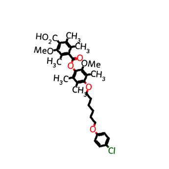 COc1c(C)c(OCCCCCCOc2ccc(Cl)cc2)c(C)c(C)c1OC(=O)c1c(C)c(C)c(C(=O)O)c(OC)c1C